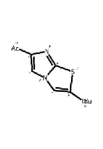 CC(=O)c1cn2cc(C(C)(C)C)sc2n1